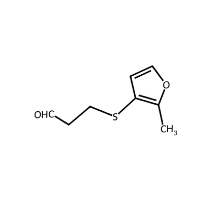 Cc1occc1SCCC=O